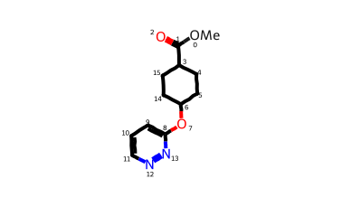 COC(=O)C1CCC(Oc2cccnn2)CC1